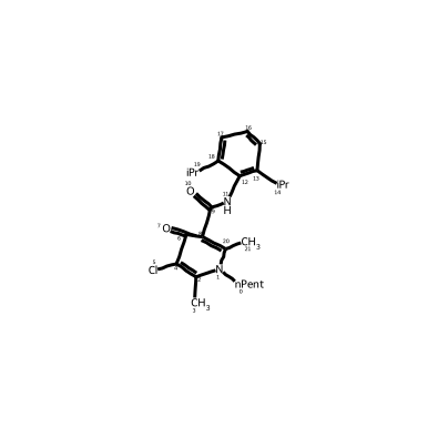 CCCCCn1c(C)c(Cl)c(=O)c(C(=O)Nc2c(C(C)C)cccc2C(C)C)c1C